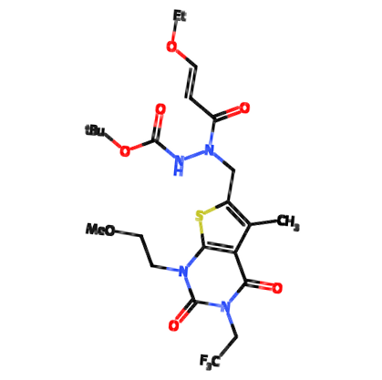 CCO/C=C/C(=O)N(Cc1sc2c(c1C)c(=O)n(CC(F)(F)F)c(=O)n2CCOC)NC(=O)OC(C)(C)C